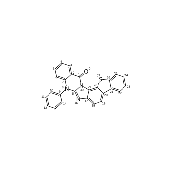 O=c1c2ccccc2n(-c2ccccc2)c2nc3ccc4c5ccccc5sc4c3n12